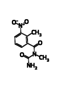 Cc1c(C(=O)N(C)C(N)=O)cccc1[N+](=O)[O-]